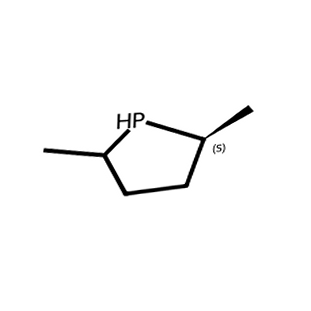 CC1CC[C@H](C)P1